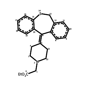 CCOC(=O)CN1CCC(=C2c3ccccc3CSc3ccccc32)CC1